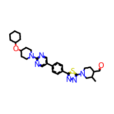 CC1CN(c2nnc(-c3ccc(-c4cnc(N5CCC(OC6CCCCC6)CC5)nc4)cc3)s2)CCC1C=O